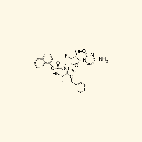 C=C[C@]1(COP(=O)(N[C@@H](C)C(=O)OCc2ccccc2)Oc2cccc3ccccc23)O[C@@H](n2ccc(N)nc2=O)[C@H](O)[C@@H]1F